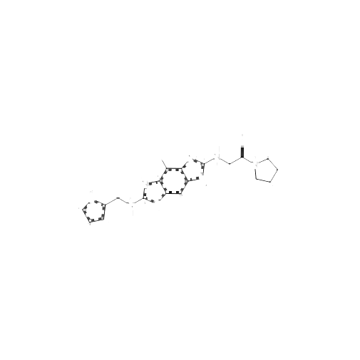 Cc1c2nc(NCC(=O)N3CCCC3)sc2cc2sc(NCc3cccs3)nc12